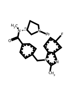 Cc1nc2cc(F)ccc2n1Cc1ccc(C(=O)N(C)[C@@H]2CCN(C(C)C)C2)cc1